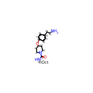 CCCCCCCCNC(=O)N1CCC(Oc2ccc(CCN)cc2)CC1